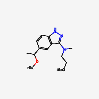 CCCCOC(C)c1ccc2[nH]nc(N(C)CCOC)c2c1